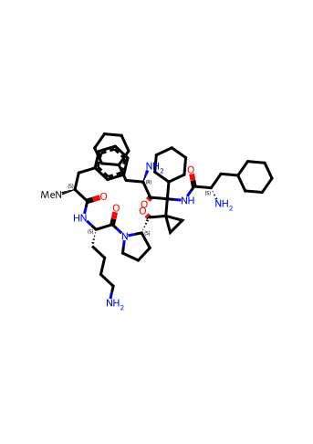 CN[C@@H](Cc1ccccc1)C(=O)N[C@@H](CCCCN)C(=O)N1CCC[C@H]1C(=O)C1(C(NC(=O)[C@@H](N)CC2CCCCC2)(C(=O)[C@H](N)CC2CCCCC2)C2CCCCC2)CC1